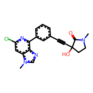 CN1CCC(O)(C#Cc2cccc(-c3nc(Cl)cc4c3ncn4C)c2)C1=O